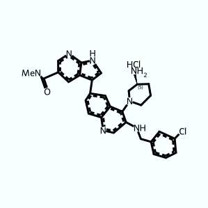 CNC(=O)c1cnc2[nH]cc(-c3ccc4ncc(NCc5cccc(Cl)c5)c(N5CCC[C@H](N)C5)c4c3)c2c1.Cl